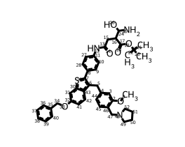 COc1cc(Cc2c(-c3ccc(NC(=O)CC(C(=O)OC(C)(C)C)C(N)O)cc3)sc3cc(OCc4ccccc4)ccc23)ccc1CN1CCCC1